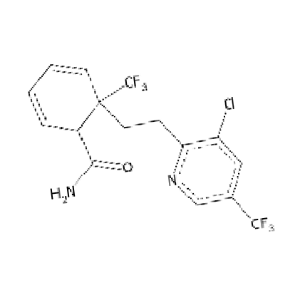 NC(=O)C1C=CC=CC1(CCc1ncc(C(F)(F)F)cc1Cl)C(F)(F)F